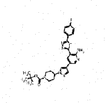 CC(C)(C)OC(=O)N1CCC(n2cc(-c3cnc(N)c(-c4nnc(-c5ccc(F)cc5)o4)c3)cn2)CC1